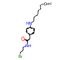 CCCCCCCCCCCCCCCCNc1ccc(CC(=O)NCCCBr)cc1